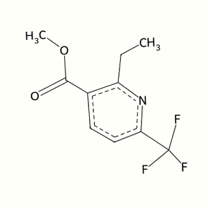 CCc1nc(C(F)(F)F)ccc1C(=O)OC